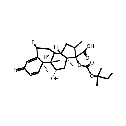 CCC(C)(C)OC(=O)O[C@]1(C(=O)O)C(C)C[C@H]2[C@@H]3C[C@H](F)C4=CC(=O)C=C[C@]4(C)[C@@]3(F)[C@@H](O)C[C@@]21C